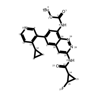 CC(C)(C)OC(=O)Nc1cc(-c2cnccc2C2CC2)cc2cc(NC(=O)C3CC3F)nnc12